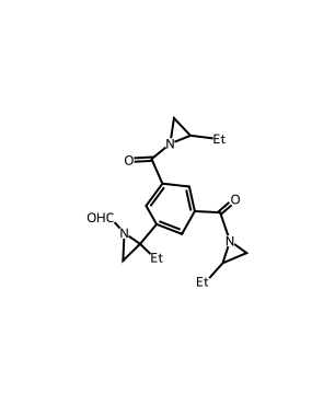 CCC1CN1C(=O)c1cc(C(=O)N2CC2CC)cc(C2(CC)CN2C=O)c1